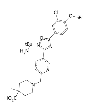 CC(C)(C)N.CC(C)Oc1ccc(-c2nc(-c3ccc(CN4CCC(C)(C(=O)O)CC4)cc3)no2)cc1Cl